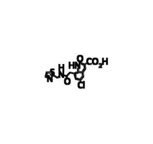 O=C(Cc1cc(Cl)cc2cc(C(=O)O)c(=O)[nH]c12)NCc1nccs1